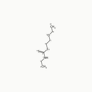 CCNC(=S)SCCOCC